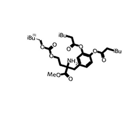 CCC(C)CC(=O)Oc1ccc(CC(N)(CCOC(=O)OC[C@@H](C)CC)C(=O)OC)cc1OC(=O)CC(C)CC